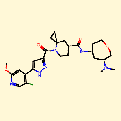 COc1cc(-c2cc(C(=O)N3CC[C@H](C(=O)N[C@H]4CCOC[C@@H](N(C)C)C4)CC34CC4)n[nH]2)c(F)cn1